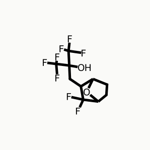 OC(CC1C2CCC(O2)C1(F)F)(C(F)(F)F)C(F)(F)F